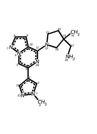 Cn1cc(-c2cn3nccc3c(N3CCC(C)(CN)C3)n2)cn1